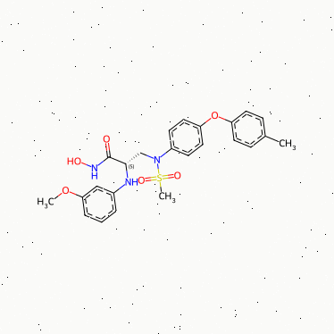 COc1cccc(N[C@@H](CN(c2ccc(Oc3ccc(C)cc3)cc2)S(C)(=O)=O)C(=O)NO)c1